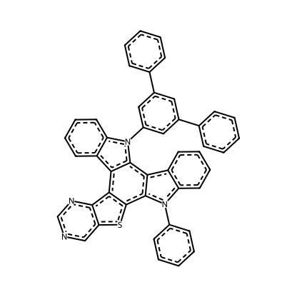 c1ccc(-c2cc(-c3ccccc3)cc(-n3c4ccccc4c4c5c6ncncc6sc5c5c(c6ccccc6n5-c5ccccc5)c43)c2)cc1